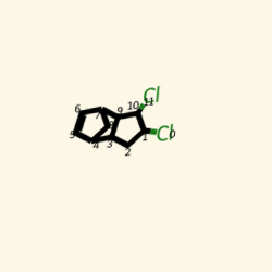 ClC1CC2C3C=CC(C3)C2C1Cl